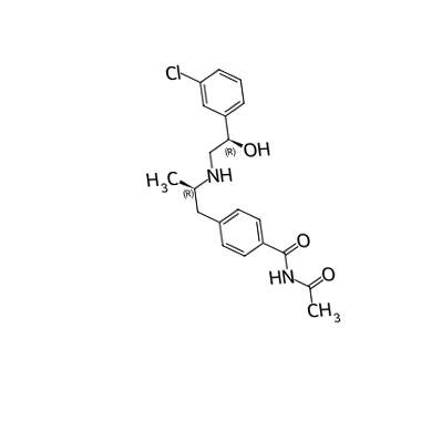 CC(=O)NC(=O)c1ccc(C[C@@H](C)NC[C@H](O)c2cccc(Cl)c2)cc1